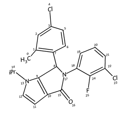 Cc1cc(Cl)ccc1C1c2c(ccn2C(C)C)C(=O)N1c1cccc(Cl)c1F